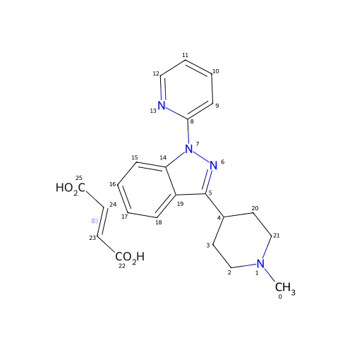 CN1CCC(c2nn(-c3ccccn3)c3ccccc23)CC1.O=C(O)/C=C/C(=O)O